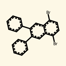 Brc1ccc(Br)c2cc(-c3ccccc3)c(-c3ccccc3)cc12